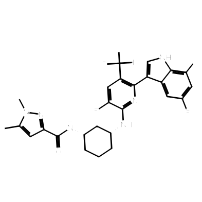 Cc1cc(C(=O)N[C@H]2CCC[C@@H](Nc3nc(-c4c[nH]c5c(F)cc(F)cc45)c(C(F)(F)F)cc3F)C2)nn1C